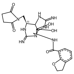 N=C1NC2[C@H](CN3C(=O)CCC3=O)NC(=N)N3CC(NC(=O)c4cccc5c4OCC5)C(O)(O)C23N1